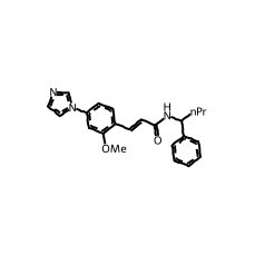 CCCC(NC(=O)/C=C/c1ccc(-n2ccnc2)cc1OC)c1ccccc1